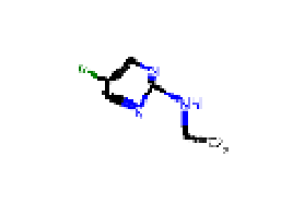 FC(F)(F)CNc1ncc(Br)cn1